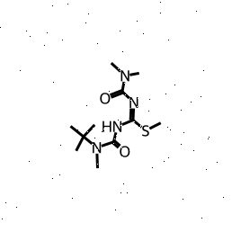 CSC(=NC(=O)N(C)C)NC(=O)N(C)C(C)(C)C